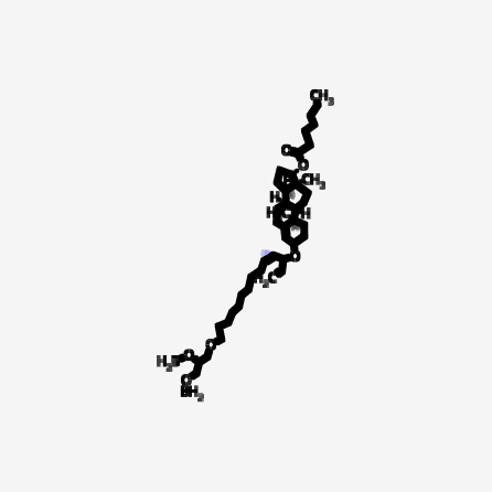 BOCC(COCCCCCCCCC/C=C\C(C=C)OC1C=C2CC[C@H]3[C@@H]4CC[C@H](OC(=O)CCCCCC)[C@@]4(C)CC[C@@H]3[C@@]2(C)CC1)OB